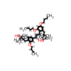 CCCCOc1cc(CC(C)(C)[Si](C)(C)O)c(C/C=C/c2ccc(CC(C)(C)[Si](C)(C)O)c(OCCCC)c2)c(OCCCC)c1